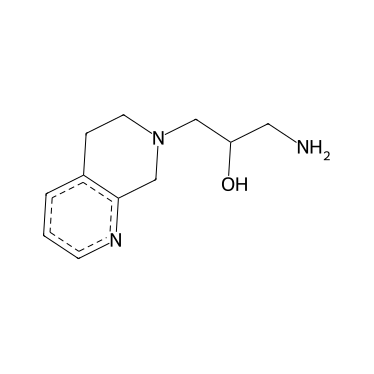 NCC(O)CN1CCc2cccnc2C1